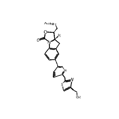 CC(=O)NC[C@@H]1OC(=O)N2c3ccc(-c4ccc(-c5nc(CO)cs5)nc4)cc3C[C@@H]12